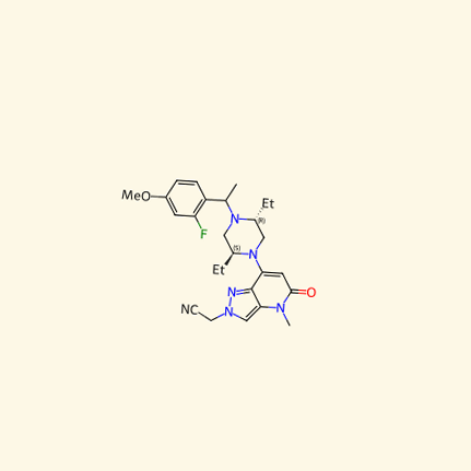 CC[C@H]1CN(C(C)c2ccc(OC)cc2F)[C@H](CC)CN1c1cc(=O)n(C)c2cn(CC#N)nc12